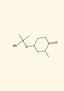 CC1CC(O[Si](C)(C)C(C)(C)C)CCC1=O